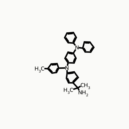 Cc1ccc(N(c2ccc(N(c3ccccc3)c3ccccc3)cc2)c2ccc(C(C)(C)N)cc2)cc1